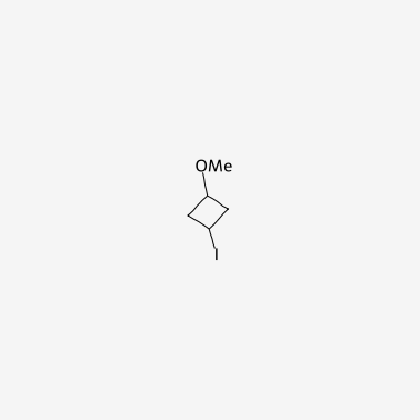 COC1CC(I)C1